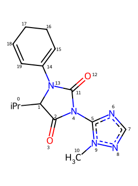 CC(C)C1C(=O)N(c2ncnn2C)C(=O)N1C1=CCCC=C1